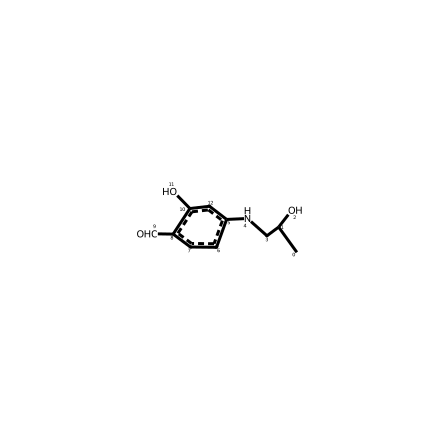 CC(O)CNc1ccc(C=O)c(O)c1